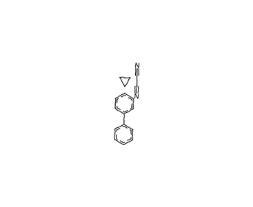 C1CC1.N#CC#N.c1ccc(-c2ccccc2)cc1